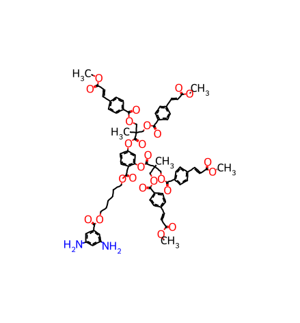 COC(=O)C=Cc1ccc(C(=O)OCC(C)(COC(=O)c2ccc(C=CC(=O)OC)cc2)C(=O)Oc2ccc(C(=O)OCCCCCCOC(=O)c3cc(N)cc(N)c3)c(OC(=O)C(C)(COC(=O)c3ccc(C=CC(=O)OC)cc3)COC(=O)c3ccc(C=CC(=O)OC)cc3)c2)cc1